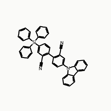 N#Cc1cc(-n2c3ccccc3c3ccccc32)ccc1-c1ccc([Si](c2ccccc2)(c2ccccc2)c2ccccc2)cc1C#N